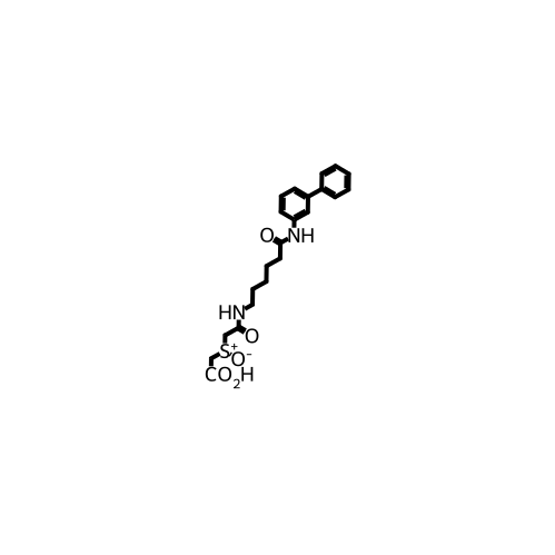 O=C(O)C[S+]([O-])CC(=O)NCCCCCC(=O)Nc1cccc(-c2ccccc2)c1